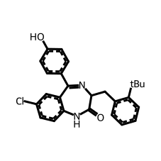 CC(C)(C)c1ccccc1CC1N=C(c2ccc(O)cc2)c2cc(Cl)ccc2NC1=O